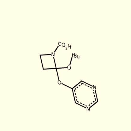 CC(C)(C)OC1(Oc2cncnc2)CCN1C(=O)O